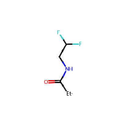 C[CH]C(=O)NCC(F)F